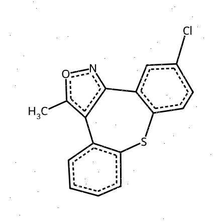 Cc1onc2c1-c1ccccc1Sc1ccc(Cl)cc1-2